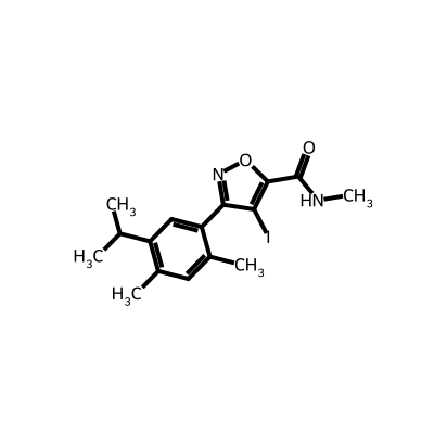 CNC(=O)c1onc(-c2cc(C(C)C)c(C)cc2C)c1I